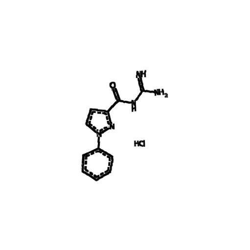 Cl.N=C(N)NC(=O)c1ccn(-c2ccccc2)n1